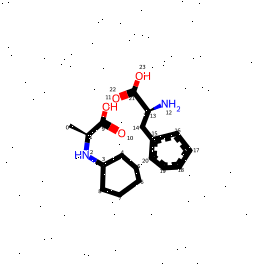 C[C@H](NC1CCCCC1)C(=O)O.N[C@@H](Cc1ccccc1)C(=O)O